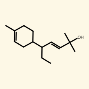 CCC(C=CC(C)(C)O)C1CC=C(C)CC1